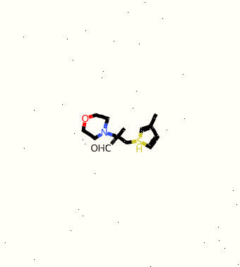 CC1=C[SH](CC(C)(C=O)N2CCOCC2)C=C1